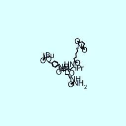 CC(C)[C@H](NC(=O)CCCCCN1C(=O)CCC1=O)C(=O)N[C@@H](CCCNC(N)=O)C(=O)Nc1ccc(COC(=O)C(C)(C)C)cc1